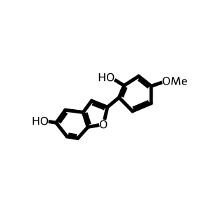 COc1ccc(-c2cc3cc(O)ccc3o2)c(O)c1